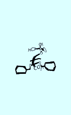 CC(C)(COP(=O)(O)O)C(OCc1ccccc1)(OCc1ccccc1)C(=O)O